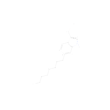 CCCCCCCCc1ccc2c(CO)c[nH]c2c1